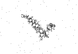 CC(=O)N(CCN1CCS(=O)(=O)CC1)C12CCCC1C1CCC3C4(C)CC=C(c5ccc(C=O)cc5)C(C)(C)C4CCC3(C)[C@]1(C)CC2